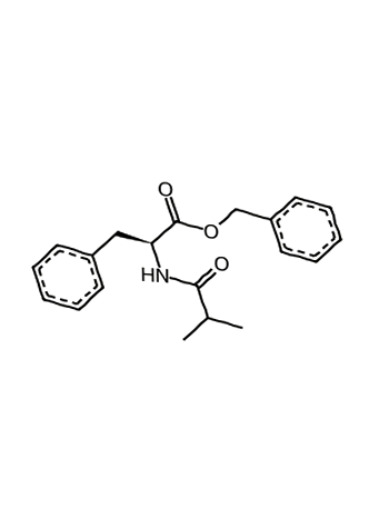 CC(C)C(=O)N[C@@H](Cc1ccccc1)C(=O)OCc1ccccc1